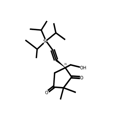 CC(C)[Si](C#C[C@]1(CO)CC(=O)C(C)(C)C1=O)(C(C)C)C(C)C